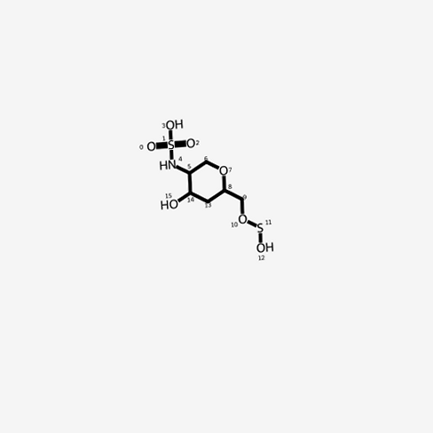 O=S(=O)(O)NC1COC(COSO)CC1O